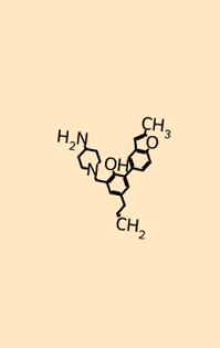 C=CCc1cc(CN2CCC(N)CC2)c(O)c(-c2ccc3oc(C)cc3c2)c1